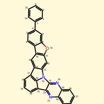 c1ccc(-c2ccc3c(c2)oc2cc4c(cc23)c2cccc3c5nc6ccccc6nc5n4c23)cc1